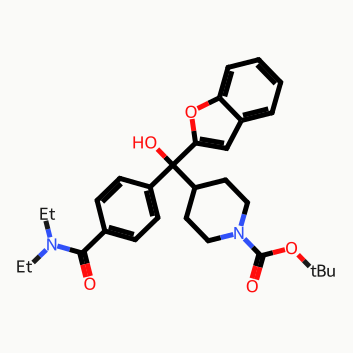 CCN(CC)C(=O)c1ccc(C(O)(c2cc3ccccc3o2)C2CCN(C(=O)OC(C)(C)C)CC2)cc1